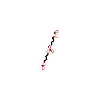 O=COCCCCOC(=O)OCCCCOC=O